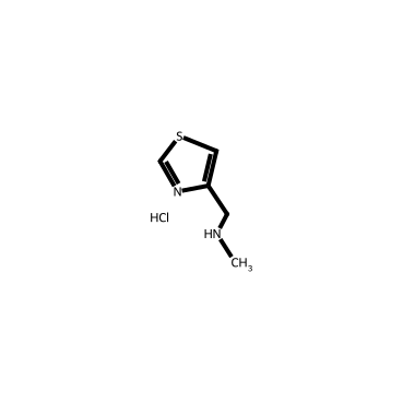 CNCc1cscn1.Cl